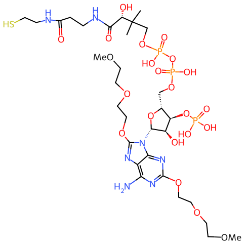 COCCOCCOc1nc(N)c2nc(OCCOCCOC)n([C@@H]3O[C@H](COP(=O)(O)OP(=O)(O)OCC(C)(C)[C@@H](O)C(=O)NCCC(=O)NCCS)[C@@H](OP(=O)(O)O)[C@H]3O)c2n1